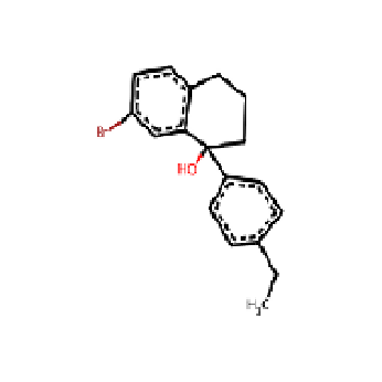 CCc1ccc(C2(O)CCCc3ccc(Br)cc32)cc1